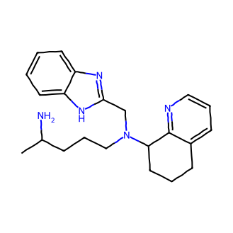 CC(N)CCCN(Cc1nc2ccccc2[nH]1)C1CCCc2cccnc21